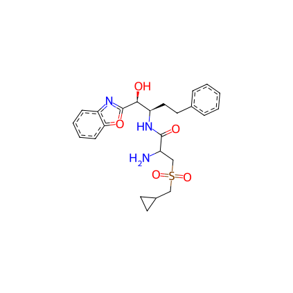 NC(CS(=O)(=O)CC1CC1)C(=O)N[C@H](CCc1ccccc1)[C@H](O)c1nc2ccccc2o1